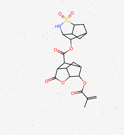 C=C(C)C(=O)OC1C2CC3C1OC(=O)C3C2C(=O)OC1C2CC3C1NS(=O)(=O)C3C2